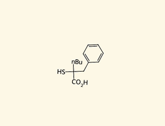 CCCCC(S)(Cc1ccccc1)C(=O)O